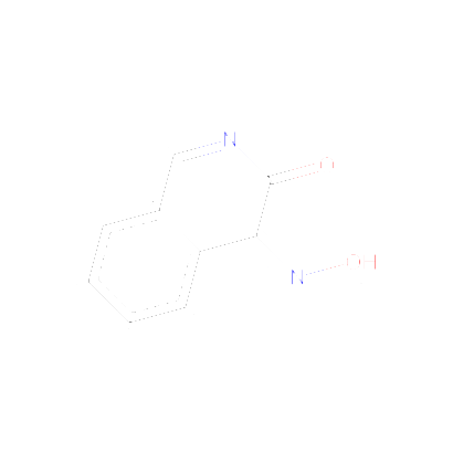 O=C1N=Cc2ccccc2/C1=N/O